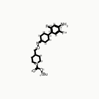 CC(C)(C)OC(=O)N1CCC(CON=C2CCC(c3cc(F)c(N)cc3F)CC2)CC1